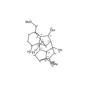 CCN1CC2(COC)CCC(O)C34C5CC6C(OC)CC(O)(C5C6O)C(C(O)C23)C14